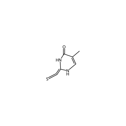 CC1=CNC(=C=S)NC1=O